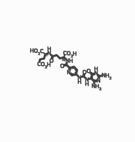 Nc1nc(N)c(NC(=O)Nc2ccc(C(=O)N[C@@H](CCC(=O)N[C@H](CCC(=O)O)C(=O)O)C(=O)O)nc2)c(=O)[nH]1